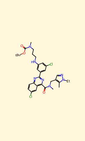 CCn1ncc(CN(C)C(=O)c2nc(-c3cc(Cl)cc(NCCCN(C)C(=O)OC(C)(C)C)c3)nc3ccc(Cl)cc23)c1C